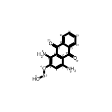 Nc1cc(OSO)c(N)c2c1C(=O)c1ccccc1C2=O